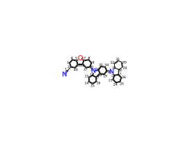 N#Cc1ccc2oc3ccc(-n4c5ccccc5c5cc(N6c7ccccc7C7C=CC=CC76)ccc54)cc3c2c1